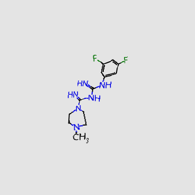 CN1CCN(C(=N)NC(=N)Nc2cc(F)cc(F)c2)CC1